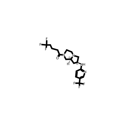 O=C(CCCC(F)(F)F)N1CCN2C[C@@H](Nc3ccc(C(F)(F)F)cn3)C[C@H]2C1